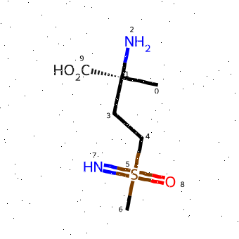 C[C@](N)(CCS(C)(=N)=O)C(=O)O